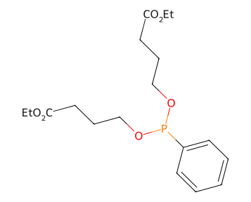 CCOC(=O)CCCOP(OCCCC(=O)OCC)c1ccccc1